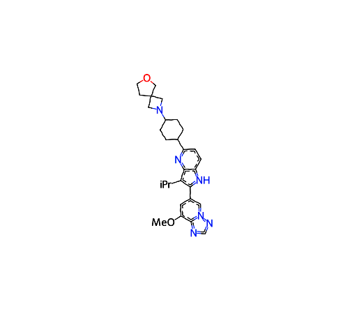 COc1cc(-c2[nH]c3ccc(C4CCC(N5CC6(CCOC6)C5)CC4)nc3c2C(C)C)cn2ncnc12